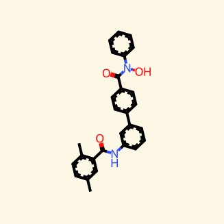 Cc1ccc(C)c(C(=O)Nc2cccc(-c3ccc(C(=O)N(O)c4ccccc4)cc3)c2)c1